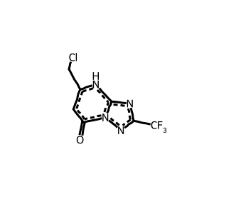 O=c1cc(CCl)[nH]c2nc(C(F)(F)F)nn12